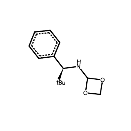 CC(C)(C)[C@H](NC1OCO1)c1ccccc1